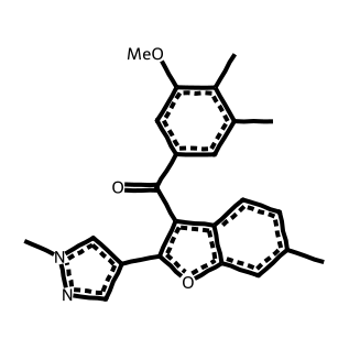 COc1cc(C(=O)c2c(-c3cnn(C)c3)oc3cc(C)ccc23)cc(C)c1C